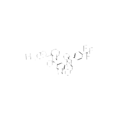 COCC1CCCCN1C(=O)c1cnc2c(c1)N([S+]([O-])c1ccc(C(F)(F)F)cc1)CCO2